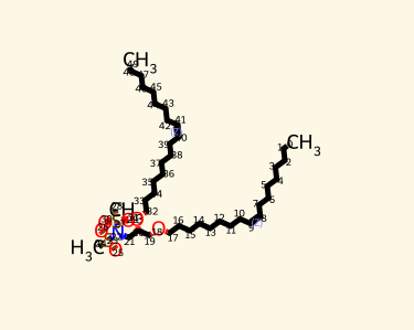 CCCCCCCC/C=C\CCCCCCCCOCC(CN(S(C)(=O)=O)S(C)(=O)=O)OCCCCCCCC/C=C\CCCCCCCC